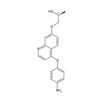 C[C@H](O)COc1ccc2c(Oc3ccc(N)cc3)ccnc2c1